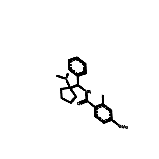 COc1ccc(C(=O)NC(c2ccccc2)C2(N(C)C)CCCC2)c(C)c1